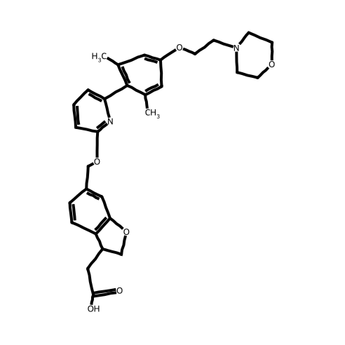 Cc1cc(OCCN2CCOCC2)cc(C)c1-c1cccc(OCc2ccc3c(c2)OCC3CC(=O)O)n1